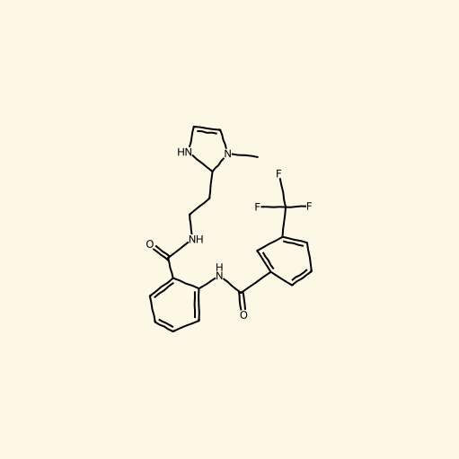 CN1C=CNC1CCNC(=O)c1ccccc1NC(=O)c1cccc(C(F)(F)F)c1